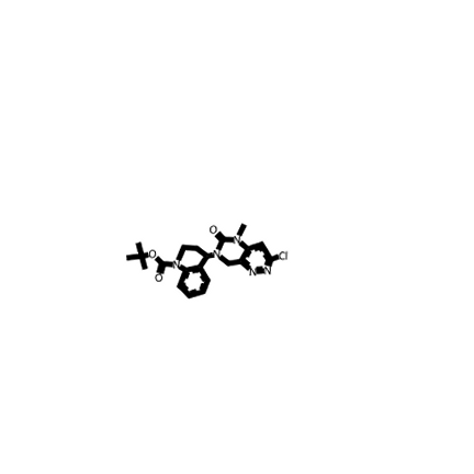 CN1C(=O)N(C2CCN(C(=O)OC(C)(C)C)c3ccccc32)Cc2nnc(Cl)cc21